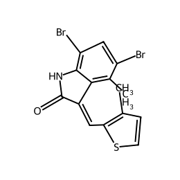 Cc1ccsc1C=C1C(=O)Nc2c(Br)cc(Br)c(C)c21